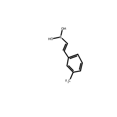 OB(O)C=Cc1cccc(C(F)(F)F)c1